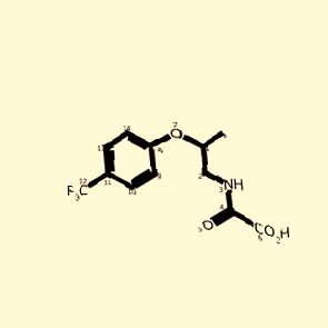 CC(CNC(=O)C(=O)O)Oc1ccc(C(F)(F)F)cc1